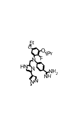 CCOc1cc(OC(C)C)c(F)c(N(Cc2nc(-c3cnn(C)c3)c[nH]2)c2ccc(C(=N)N)cc2)c1